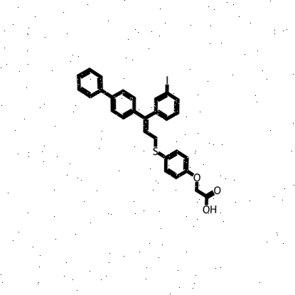 O=C(O)COc1ccc(SCC=C(c2ccc(-c3ccccc3)cc2)c2cccc(I)c2)cc1